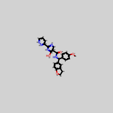 COc1ccc(C(NC(=O)c2cnc(-c3cccnn3)nc2O)c2ccc3c(c2)CCO3)cc1